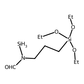 CCO[Si](CCCN([SiH3])C=O)(OCC)OCC